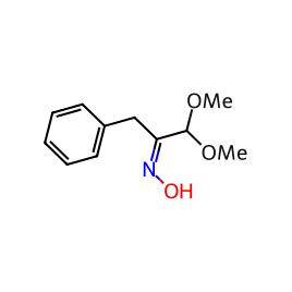 COC(OC)C(Cc1ccccc1)=NO